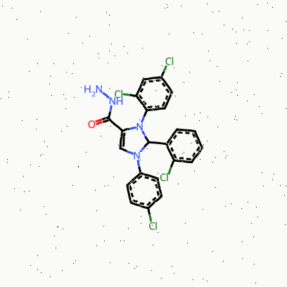 NNC(=O)C1=CN(c2ccc(Cl)cc2)C(c2ccccc2Cl)N1c1ccc(Cl)cc1Cl